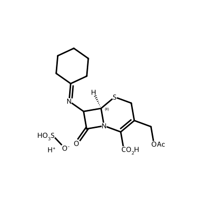 CC(=O)OCC1=C(C(=O)O)N2C(=O)C(N=C3CCCCC3)[C@H]2SC1.O=S(=O)([O-])O.[H+]